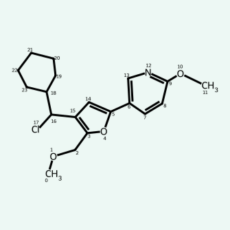 COCc1oc(-c2ccc(OC)nc2)cc1C(Cl)C1CCCCC1